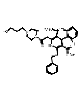 COC(=O)C1=C(CCc2ccccc2)NC(CC(=O)N2CCN(CCCO)CC2)=C(C(=O)OC)C1c1c(Cl)cccc1Cl